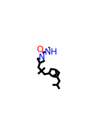 CNC(=O)N1CC(CC(C)(C)CC2CC3CC(CC(C)C)C2C3)C1